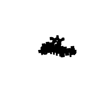 CC(=O)CC(C)C.CO[Si](OC)(OC)C(F)(F)C(F)(F)C(F)(F)C(F)(F)C(F)(F)C(F)(F)C(F)(F)CCC(F)(F)F